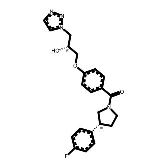 O=C(c1ccc(OC[C@H](O)Cn2ccnn2)cc1)N1CC[C@H](c2ccc(F)cc2)C1